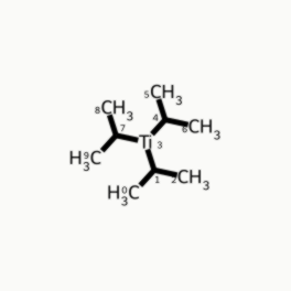 C[CH](C)[Ti]([CH](C)C)[CH](C)C